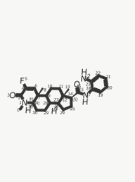 CN1C(=O)C(F)=C[C@]2(C)C3CC[C@]4(C)[C@@H](C(=O)Nc5ccccc5N)CC[C@H]4C3CC[C@@H]12